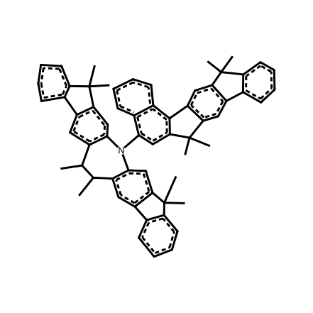 CC1c2cc3c(cc2N(c2cc4c(c5ccccc25)-c2cc5c(cc2C4(C)C)-c2ccccc2C5(C)C)c2cc4c(cc2C1C)-c1ccccc1C4(C)C)C(C)(C)c1ccccc1-3